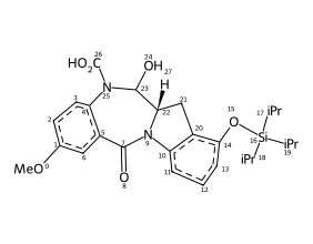 COc1ccc2c(c1)C(=O)N1c3cccc(O[Si](C(C)C)(C(C)C)C(C)C)c3C[C@H]1C(O)N2C(=O)O